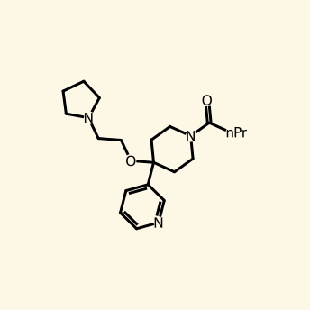 CCCC(=O)N1CCC(OCCN2CCCC2)(c2cccnc2)CC1